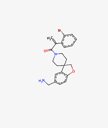 C=C(C(=O)N1CCC2(CC1)COc1ccc(CN)cc12)c1ccccc1Br